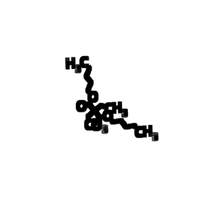 CCCCCOC(=O)C(CC)(CC)C(=O)OCCCCC